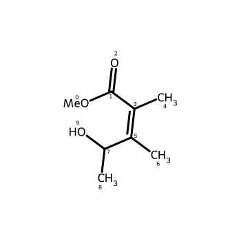 COC(=O)C(C)=C(C)C(C)O